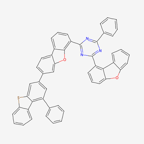 c1ccc(-c2nc(-c3cccc4c3oc3cc(-c5cc(-c6ccccc6)c6c(c5)sc5ccccc56)ccc34)nc(-c3cccc4oc5ccccc5c34)n2)cc1